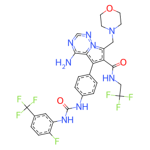 Nc1ncnn2c(CN3CCOCC3)c(C(=O)NCC(F)(F)F)c(-c3ccc(NC(=O)Nc4cc(C(F)(F)F)ccc4F)cc3)c12